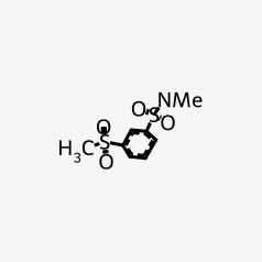 CNS(=O)(=O)c1cccc(S(C)(=O)=O)c1